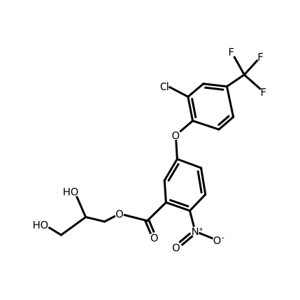 O=C(OCC(O)CO)c1cc(Oc2ccc(C(F)(F)F)cc2Cl)ccc1[N+](=O)[O-]